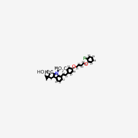 Cc1c(CC2(CC(=O)O)CC2)c2cccc(C=Cc3ccc(OCC=CCOc4ccccc4F)cc3)c2n1CC(=O)O